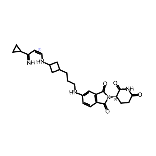 N=C(/C=C\NC1CC(CCCNc2ccc3c(c2)C(=O)N([C@@H]2CCC(=O)NC2=O)C3=O)C1)C1CC1